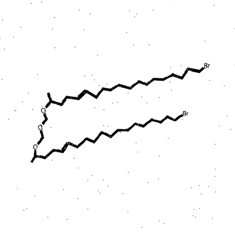 CC(CCC=CCCCCCCCCCCCCCBr)OCOCOC(C)CCC=CCCCCCCCCCCCCCBr